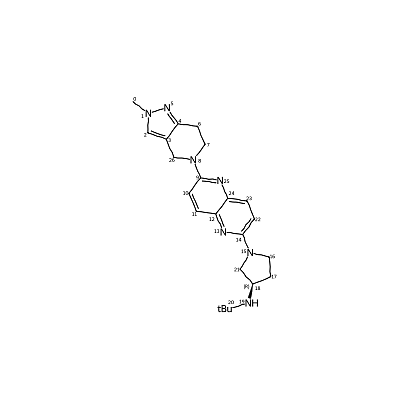 Cn1cc2c(n1)CCN(c1ccc3nc(N4CC[C@@H](NC(C)(C)C)C4)ccc3n1)C2